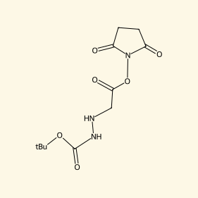 CC(C)(C)OC(=O)NNCC(=O)ON1C(=O)CCC1=O